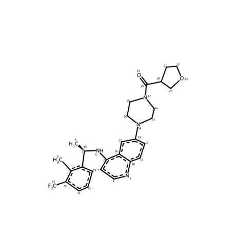 Cc1c([C@@H](C)Nc2ccnc3ccc(N4CCN(C(=O)C5CCOC5)CC4)cc23)cccc1C(F)(F)F